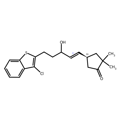 CC1(C)C[C@H](/C=C/C(O)CCc2sc3ccccc3c2Cl)CC1=O